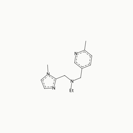 CCN(Cc1ccc(C)nc1)Cc1nccn1C